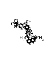 COc1ccc2cccc(C(C)(C)CNS(=O)(=O)c3ccc(OC)c(N4CCN(C(=O)C(Cl)(Cl)Cl)CC4)c3)c2c1